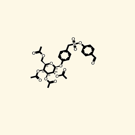 CC(=O)OC[C@H]1O[C@@H](Oc2ccc(CS(=O)(=O)Oc3ccc(C=O)cc3)cc2)[C@H](OC(C)=O)[C@@H](OC(C)=O)[C@H]1OC(C)=O